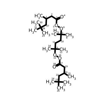 CC(CC(=O)OOC(C)(C)CCC(C)(C)OOC(=O)CC(C)CC(C)(C)C)CC(C)(C)C